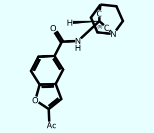 CC(=O)c1cc2cc(C(=O)N[C@@H]3CC4CCN(CC4)C3)ccc2o1